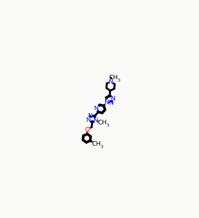 Cc1cccc(OCc2nnc(-c3ccc(-n4cc(C5CCN(C)CC5)nn4)cn3)n2C)c1